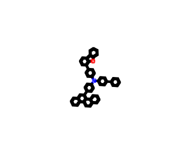 c1ccc(-c2ccc(N(c3ccc(-c4cccc5c4oc4ccccc45)cc3)c3ccc(-c4cc5ccccc5c5ccc6ccccc6c45)cc3)cc2)cc1